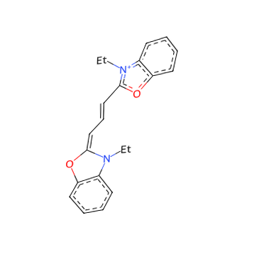 CCN1C(=CC=Cc2oc3ccccc3[n+]2CC)Oc2ccccc21